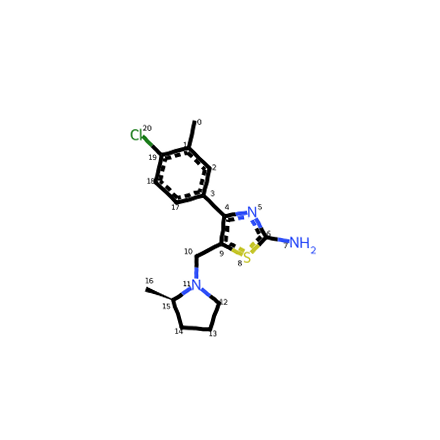 Cc1cc(-c2nc(N)sc2CN2CCC[C@H]2C)ccc1Cl